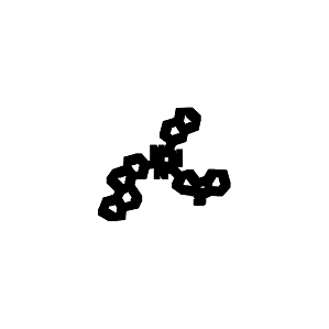 c1ccc2cc(-c3nc(-c4ccc5ccc6c7ccccc7ccc6c5c4)nc(-c4ccc5sc6ccccc6c5c4)n3)ccc2c1